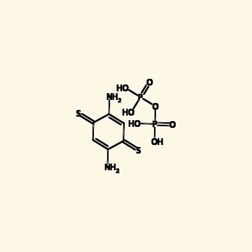 NC1=CC(=S)C(N)=CC1=S.O=P(O)(O)OP(=O)(O)O